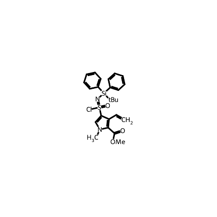 C=Cc1c(S(=O)(Cl)=N[Si](c2ccccc2)(c2ccccc2)C(C)(C)C)cn(C)c1C(=O)OC